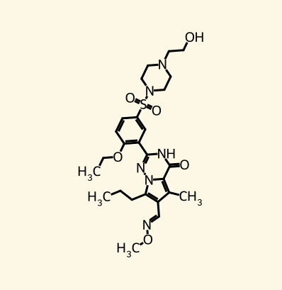 CCCc1c(C=NOC)c(C)c2c(=O)[nH]c(-c3cc(S(=O)(=O)N4CCN(CCO)CC4)ccc3OCC)nn12